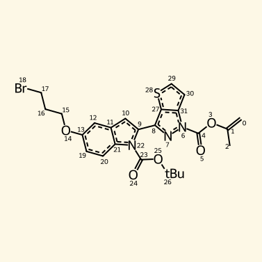 C=C(C)OC(=O)n1nc(-c2cc3cc(OCCCBr)ccc3n2C(=O)OC(C)(C)C)c2sccc21